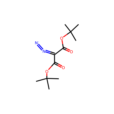 CC(C)(C)OC(=O)C(=[N+]=[N-])C(=O)OC(C)(C)C